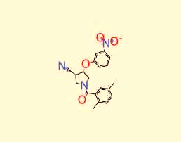 Cc1ccc(C)c(C(=O)N2C[C@@H](C#N)[C@H](Oc3cccc([N+](=O)[O-])c3)C2)c1